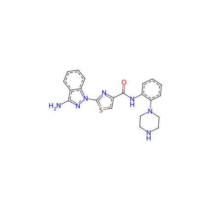 Nc1nn(-c2nc(C(=O)Nc3ccccc3N3CCNCC3)cs2)c2ccccc12